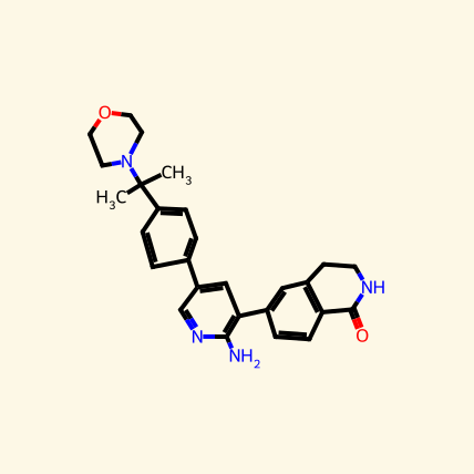 CC(C)(c1ccc(-c2cnc(N)c(-c3ccc4c(c3)CCNC4=O)c2)cc1)N1CCOCC1